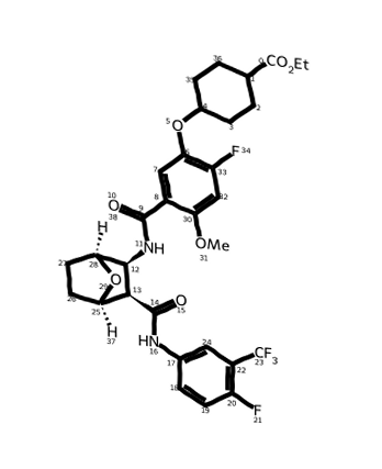 CCOC(=O)C1CCC(Oc2cc(C(=O)N[C@H]3[C@@H](C(=O)Nc4ccc(F)c(C(F)(F)F)c4)[C@H]4CC[C@@H]3O4)c(OC)cc2F)CC1